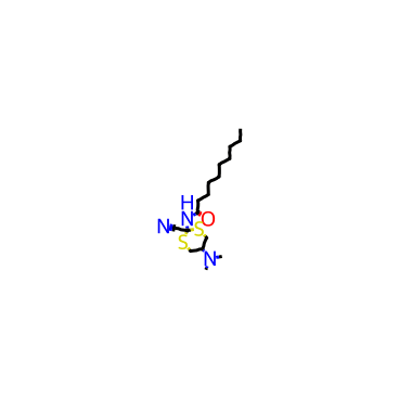 CCCCCCCCCC(=O)NC1(C#N)SCC(N(C)C)CS1